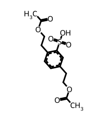 CC(=O)OCCc1ccc(CCOC(C)=O)c(S(=O)(=O)O)c1